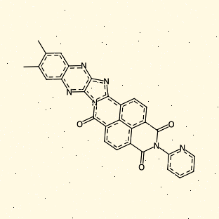 Cc1cc2nc3nc4c5ccc6c7c(ccc(c(=O)n4c3nc2cc1C)c75)C(=O)N(c1ccccn1)C6=O